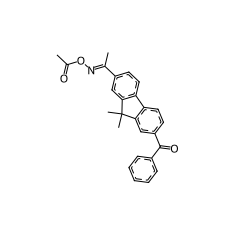 CC(=O)ON=C(C)c1ccc2c(c1)C(C)(C)c1cc(C(=O)c3ccccc3)ccc1-2